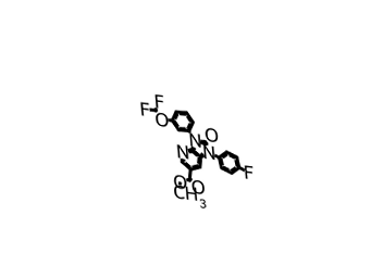 COC(=O)c1cnc2c(c1)n(-c1ccc(F)cc1)c(=O)n2-c1cccc(OC(F)F)c1